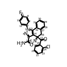 NC(=O)c1nn(-c2ccc(F)cc2)c2c1C(N)(C(=O)c1ccccc1Cl)Cc1ccccc1-2